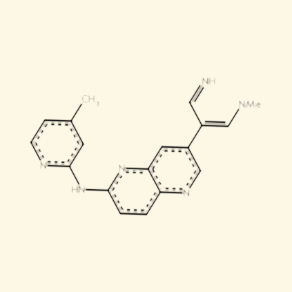 CN/C=C(\C=N)c1cnc2ccc(Nc3cc(C)ccn3)nc2c1